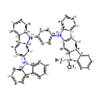 CC1(C)c2ccccc2-c2cc3c4ccccc4n(-c4ccc(-n5c6ccccc6c6ccc(-n7c8ccccc8c8ccccc87)cc65)cc4)c3cc21